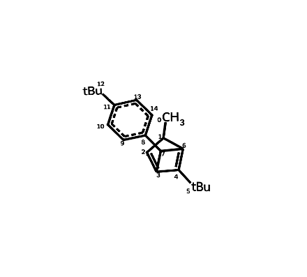 CC1[C]=C2C(C(C)(C)C)=C1C2c1ccc(C(C)(C)C)cc1